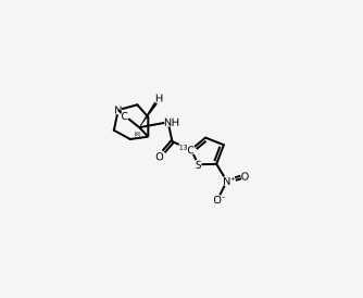 O=C(N[C@H]1CN2CCC1CC2)[13c]1ccc([N+](=O)[O-])s1